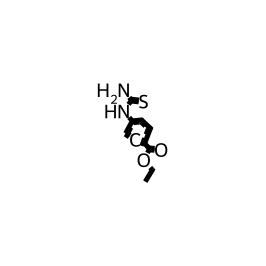 CCOC(=O)c1ccc(NC(N)=S)cc1